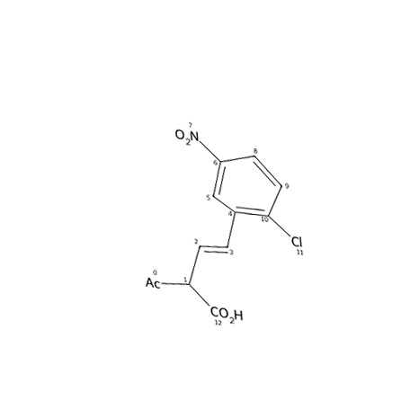 CC(=O)C(C=Cc1cc([N+](=O)[O-])ccc1Cl)C(=O)O